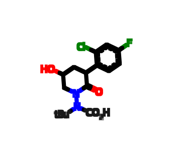 CC(C)(C)N(C(=O)O)N1CC(O)CC(c2ccc(F)cc2Cl)C1=O